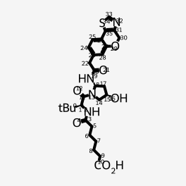 CC(C)(C)[C@H](NC(=O)CCCCCC(=O)O)C(=O)N1C[C@H](O)C[C@H]1NC(=O)Cc1ccc2c(c1)OCc1ncsc1-2